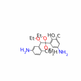 CCOC(c1cc(N)ccc1C(=O)O)C(OCC)(OCC)c1cc(N)ccc1C(=O)O